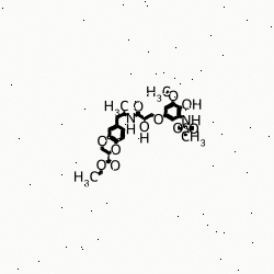 CCOC(=O)[C@H]1COc2cc(C[C@@H](C)NC(=O)[C@@H](O)COc3cc(NS(C)(=O)=O)c(O)c(OC)c3)ccc2O1